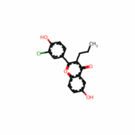 CCCc1c(-c2ccc(O)c(Cl)c2)oc2ccc(O)cc2c1=O